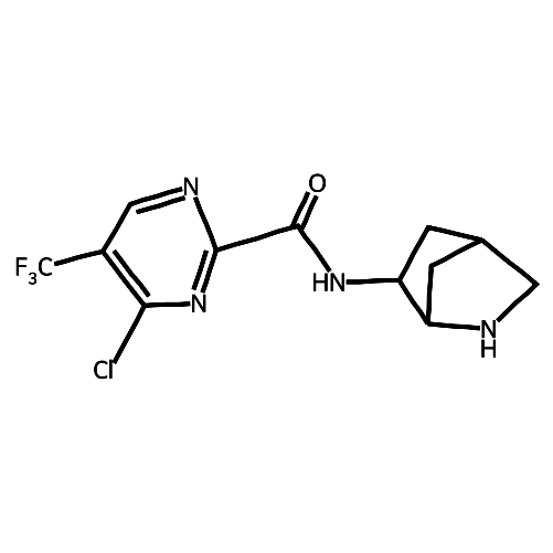 O=C(NC1CC2CNC1C2)c1ncc(C(F)(F)F)c(Cl)n1